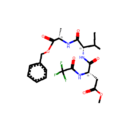 COC(=O)C[C@H](NC(=O)C(F)(F)F)C(=O)N[C@H](C(=O)N[C@@H](C)C(=O)OCc1ccccc1)C(C)C